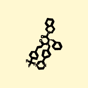 O=C([C@H](Cc1ccccc1)N(Cc1ccc(-c2cnccn2)cc1)C(=O)C=Cc1ccc(C(F)(F)F)cc1)N1CCc2ccccc2C1